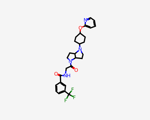 O=C(NCC(=O)N1CCC2C1CCN2C1CCC(Oc2ccccn2)CC1)c1cccc(C(F)(F)F)c1